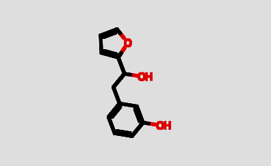 Oc1cccc(CC(O)c2ccco2)c1